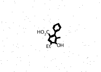 CCc1cc(C(=O)O)c(-c2ccccc2)c(C)c1O